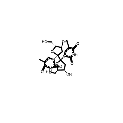 Cc1cn([C@@]2([C@]3(n4cc(C)c(=O)[nH]c4=O)C[C@H](O)[C@@H](CO)O3)C[C@H](O)[C@@H](CO)O2)c(=O)[nH]c1=O